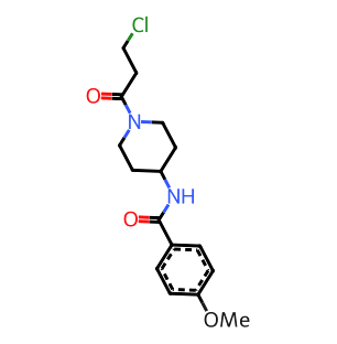 COc1ccc(C(=O)NC2CCN(C(=O)CCCl)CC2)cc1